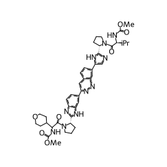 COC(=O)N[C@H](C(=O)N1CCC[C@H]1c1ncc(-c2ccc3cc(-c4ccc5nc([C@@H]6CCCN6C(=O)[C@@H](NC(=O)OC)C6CCOCC6)[nH]c5c4)nnc3c2)[nH]1)C(C)C